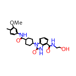 COc1cc(NC(=O)C2CCC(n3c(=O)[nH]c4c(C(=O)NCCO)cccc43)CC2)ccc1C